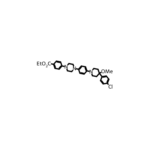 CCOC(=O)c1ccc(N2CCN(c3ccc(N4CCC(OC)(c5ccc(Cl)cc5)CC4)cc3)CC2)cc1